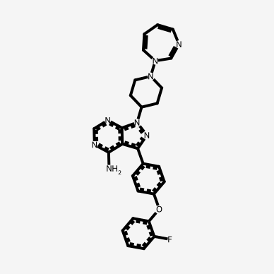 Nc1ncnc2c1c(-c1ccc(Oc3ccccc3F)cc1)nn2C1CCN(N2C=CC=CN=C2)CC1